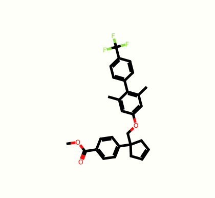 COC(=O)c1ccc(C2(COc3cc(C)c(-c4ccc(C(F)(F)F)cc4)c(C)c3)CC=CC2)cc1